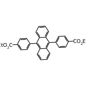 CCOC(=O)c1ccc(-c2c3ccccc3c(-c3ccc(C(=O)OCC)cc3)c3ccccc23)cc1